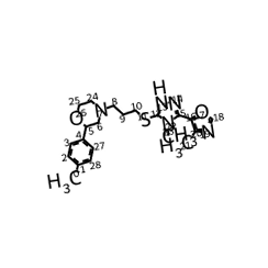 Cc1ccc(C2CN(CCCSC3NN=C(c4ocnc4C)N3C)CCO2)cc1